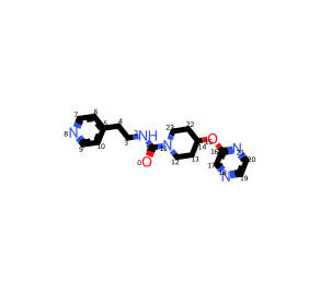 O=C(NCCc1ccncc1)N1CCC(Oc2cnccn2)CC1